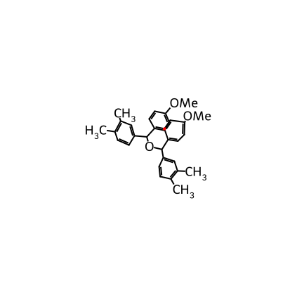 COc1ccc(C(OC(c2ccc(OC)cc2)c2ccc(C)c(C)c2)c2ccc(C)c(C)c2)cc1